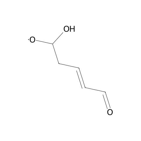 [O]C(O)CC=CC=O